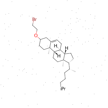 CC(C)CCC[C@@H](C)[C@H]1CC[C@H]2[C@@H]3CC=C4CC(OCCBr)CC[C@]4(C)[C@H]3CC[C@]12C